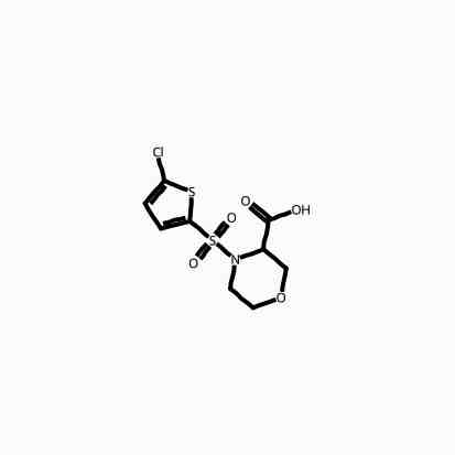 O=C(O)C1COCCN1S(=O)(=O)c1ccc(Cl)s1